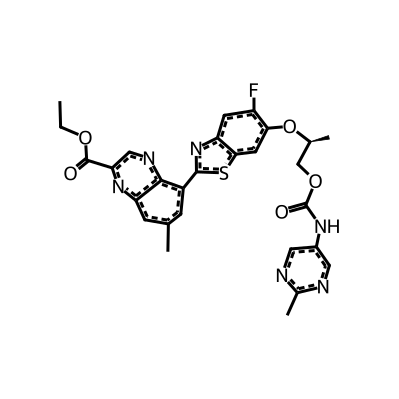 CCOC(=O)c1cnc2c(-c3nc4cc(F)c(O[C@@H](C)COC(=O)Nc5cnc(C)nc5)cc4s3)cc(C)cc2n1